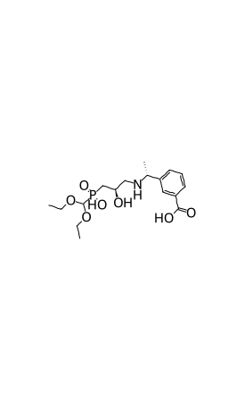 CCOC(OCC)P(=O)(O)C[C@H](O)CN[C@H](C)c1cccc(C(=O)O)c1